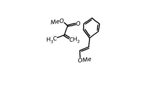 C=C(C)C(=O)OC.COC=Cc1ccccc1